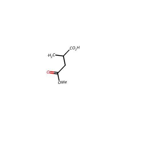 [CH2]C(CC(=O)OC)C(=O)O